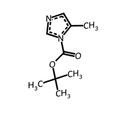 Cc1cncn1C(=O)OC(C)(C)C